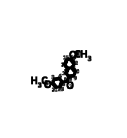 COc1ccc(C(=O)c2ccc3cc(OC)ccc3c2)cc1